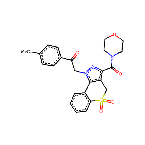 COc1ccc(C(=O)Cn2nc(C(=O)N3CCOCC3)c3c2-c2ccccc2S(=O)(=O)C3)cc1